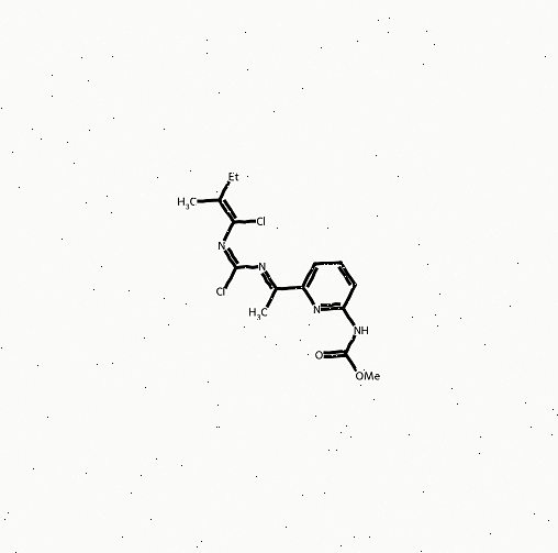 CC/C(C)=C(Cl)/N=C(Cl)\N=C(/C)c1cccc(NC(=O)OC)n1